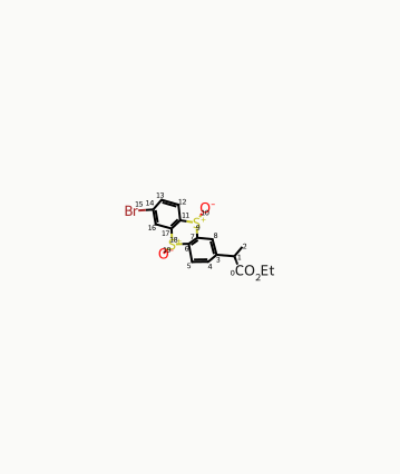 CCOC(=O)C(C)c1ccc2c(c1)[S+]([O-])c1ccc(Br)cc1[S+]2[O-]